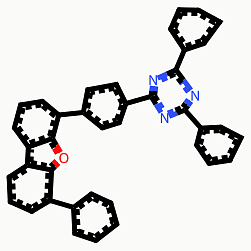 c1ccc(-c2nc(-c3ccccc3)nc(-c3ccc(-c4cccc5c4oc4c(-c6ccccc6)cccc45)cc3)n2)cc1